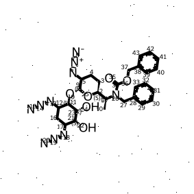 C[C@@H]([C@@H]1CCC(N=[N+]=[N-])[C@@H](O[C@@H]2C(N=[N+]=[N-])CC(N=[N+]=[N-])[C@H](O)[C@H]2O)O1)N(Cc1ccccc1)C(=O)OCc1ccccc1